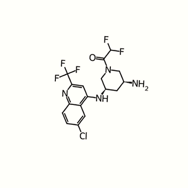 N[C@H]1C[C@@H](Nc2cc(C(F)(F)F)nc3ccc(Cl)cc23)CN(C(=O)C(F)F)C1